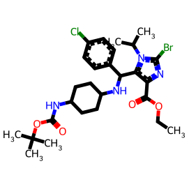 CCOC(=O)c1nc(Br)n(C(C)C)c1C(NC1CCC(NC(=O)OC(C)(C)C)CC1)c1ccc(Cl)cc1